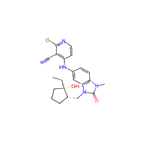 CC[C@]1(O)CCC[C@H]1Cn1c(=O)n(C)c2ccc(Nc3ccnc(Cl)c3C#N)cc21